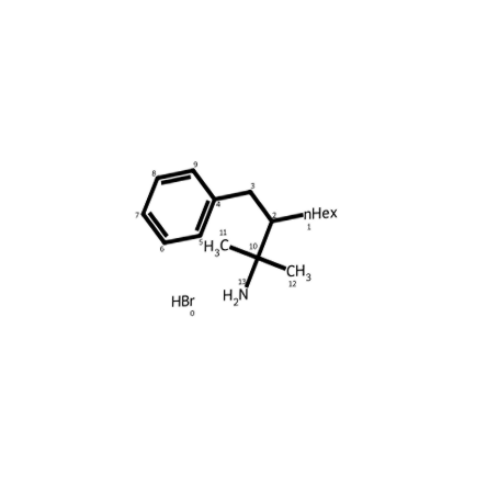 Br.CCCCCCC(Cc1ccccc1)C(C)(C)N